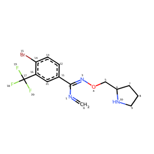 C=N/C(=N\OCC1CCCN1)c1ccc(Br)c(C(F)(F)F)c1